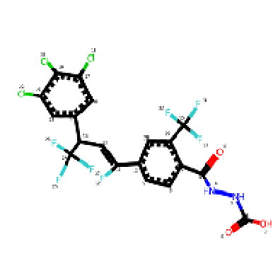 O=C(O)NNC(=O)c1ccc(C(F)=CC(c2cc(Cl)c(Cl)c(Cl)c2)C(F)(F)F)cc1C(F)(F)F